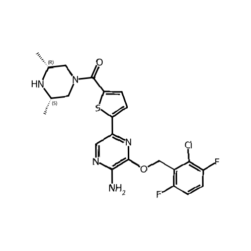 C[C@@H]1CN(C(=O)c2ccc(-c3cnc(N)c(OCc4c(F)ccc(F)c4Cl)n3)s2)C[C@H](C)N1